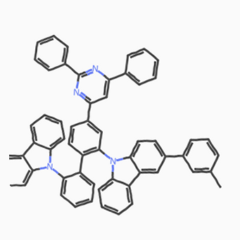 Cc1cccc(-c2ccc3c(c2)c2ccccc2n3-c2cc(-c3cc(-c4ccccc4)nc(-c4ccccc4)n3)ccc2-c2ccccc2-n2c3ccccc3c3ccccc32)c1